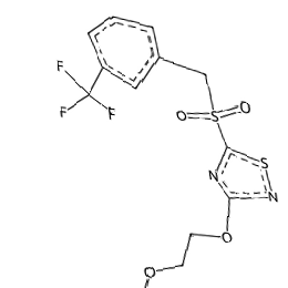 COCCOc1nsc(S(=O)(=O)Cc2cccc(C(F)(F)F)c2)n1